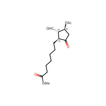 COC(=O)CCCCCC[C@@H]1C(=O)C[C@H](OC(C)=O)[C@H]1C=O